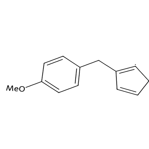 COc1ccc(CC2=[C]CC=C2)cc1